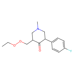 CCOOCC1CN(C)CC(c2ccc(F)cc2)C1=O